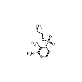 C=CCOS(=O)(=O)c1nccc(N)c1[N+](=O)[O-]